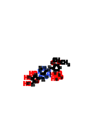 COc1cc(OP(=O)(O)O)cc(CNc2ncnc3c2ncn3[C@@H]2O[C@H](CO)[C@@H](O)[C@H]2O)c1OC